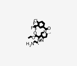 CCOC(=O)c1c2c(nn1[C@H](C)CN)C[C@@H](C)N(C(=O)c1ccc(Cl)c(C(F)(F)F)c1)C2